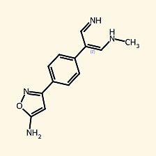 CN/C=C(\C=N)c1ccc(-c2cc(N)on2)cc1